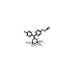 CC1(C)CC(=C(c2ccc(F)cc2)c2ccc(OCC#N)cc2)CC(C)(C)C1